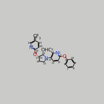 O=Cc1nc(Oc2ccccc2)ccc1N1CC[C@H](Oc2ccc(C(F)(F)F)cn2)C1